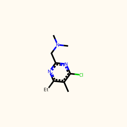 CCc1nc(CN(C)C)nc(Cl)c1C